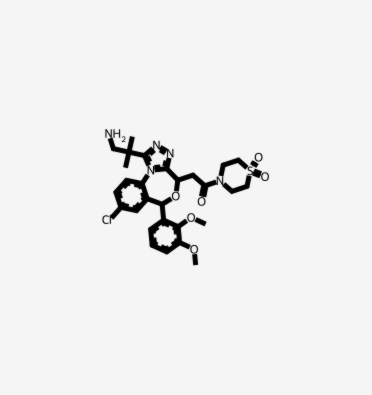 COc1cccc(C2OC(CC(=O)N3CCS(=O)(=O)CC3)c3nnc(C(C)(C)CN)n3-c3ccc(Cl)cc32)c1OC